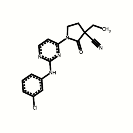 CCC1(C#N)CCN(c2ccnc(Nc3cccc(Cl)c3)n2)C1=O